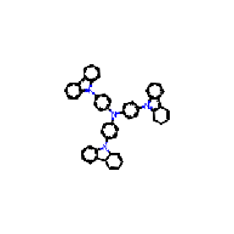 C1=CC2c3ccccc3N(c3ccc(N(c4ccc(-n5c6c(c7ccccc75)C=CCC6)cc4)c4ccc(-n5c6ccccc6c6ccccc65)cc4)cc3)C2C=C1